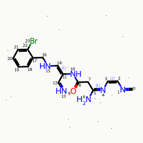 C=N/C=C\N=C(\N)CC(=O)N/C(C=N)=C/NCc1ccccc1Br